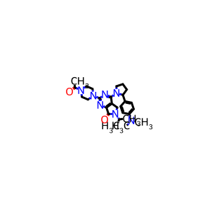 CC(=O)N1CCN(c2nc3c(c(N4CCCC4c4ccc(N(C)C)cc4)n2)CN(C(C)C)C3=O)CC1